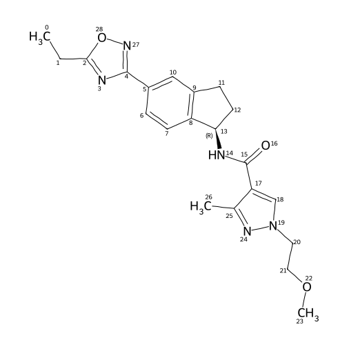 CCc1nc(-c2ccc3c(c2)CC[C@H]3NC(=O)c2cn(CCOC)nc2C)no1